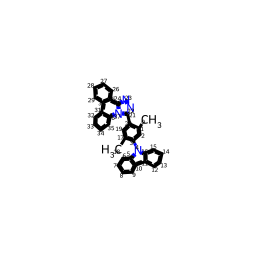 Cc1cc(-n2c3ccccc3c3ccccc32)c(C)cc1-c1nnc2c3ccccc3c3ccccc3n12